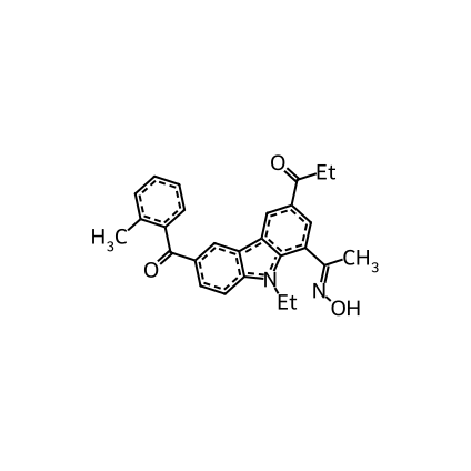 CCC(=O)c1cc(C(C)=NO)c2c(c1)c1cc(C(=O)c3ccccc3C)ccc1n2CC